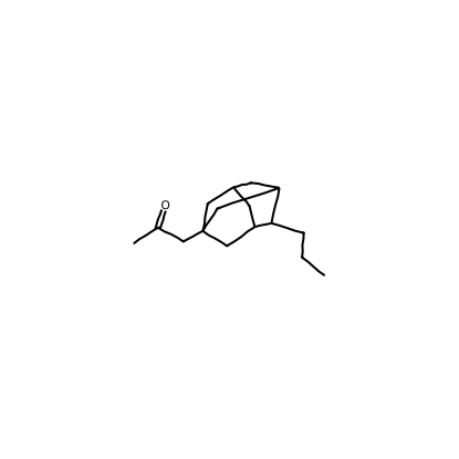 CCCC1C2CC3CC1CC(CC(C)=O)(C3)C2